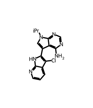 CC(C)n1cc(-c2[nH]c3ncccc3c2Cl)c2c(N)ncnc21